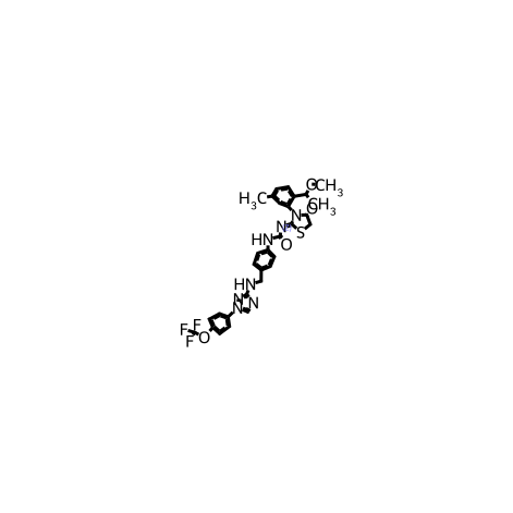 COC(C)c1ccc(C)cc1N1C(=O)CS/C1=N\C(=O)Nc1ccc(CNc2ncn(-c3ccc(OC(F)(F)F)cc3)n2)cc1